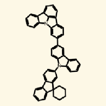 c1ccc2c(c1)-c1ccc(-n3c4ccccc4c4cc(-c5ccc6c7cccc8c9ccccc9n(c6c5)c87)ccc43)cc1C21CCCCC1